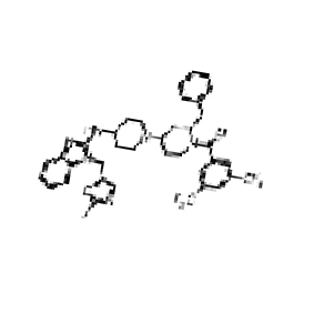 Cc1ncc(Cn2c(NC3CCN(C4CCN(C(=O)c5cc(C(F)(F)F)cc(C(F)(F)F)c5)C(Cc5ccccc5)C4)CC3)nc3ccccc32)o1